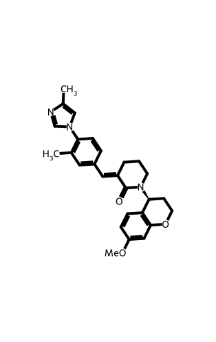 COc1ccc2c(c1)OCC[C@@H]2N1CCC/C(=C\c2ccc(-n3cnc(C)c3)c(C)c2)C1=O